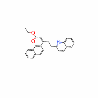 CCOC(=O)C=C(CCc1ccc2ccccc2n1)c1ccc2ccccc2c1